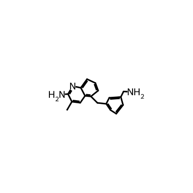 Cc1cc2c(Cc3cccc(CN)c3)cccc2nc1N